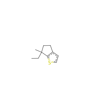 CCC1(C)CCc2ccsc21